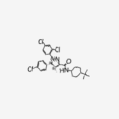 C[C@H]1C(C(=O)NC2CCC(C(C)(C)C)CC2)=NN(c2ccc(Cl)cc2Cl)[C@H]1c1ccc(Cl)cc1